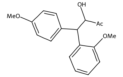 COc1ccc(C(c2ccccc2OC)C(O)C(C)=O)cc1